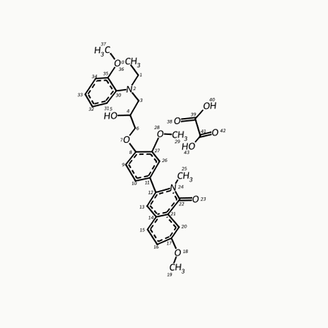 CCN(CC(O)COc1ccc(-c2cc3ccc(OC)cc3c(=O)n2C)cc1OC)c1ccccc1OC.O=C(O)C(=O)O